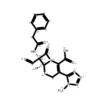 Cn1nnnc1C1=C(C(=O)O)N2C(=O)[C@@](C=S)(NC(=O)Cc3ccccc3)[C@@H]2SC1